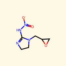 O=[N+]([O-])NC1=NCCN1CC1CO1